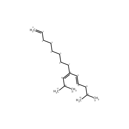 C=CCCCCCCC(C=CCC(C)C)=CC(C)C